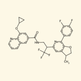 CC1COc2c1cc(C(CNC(=O)c1cc(OC3CC3)c3ncccc3c1)C(F)(F)F)nc2-c1ccc(F)c(F)c1